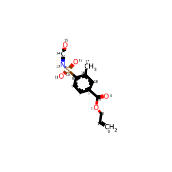 C=CCOC(=O)c1ccc(S(=O)(=O)N=C=O)c(C)c1